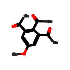 CC(C)(C)Oc1cc(C(=O)C(C)(C)C)c(C(=O)C(C)(C)C)c(C(=O)C(C)(C)C)c1